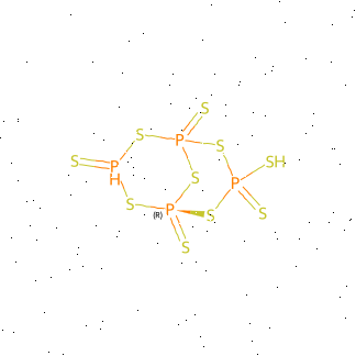 S=[PH]1SP2(=S)SP(=S)(S)S[P@@](=S)(S1)S2